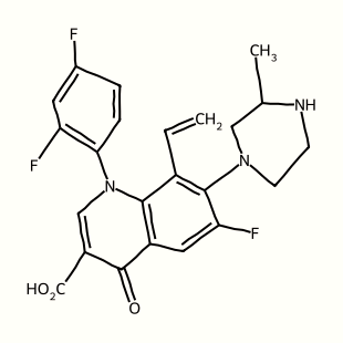 C=Cc1c(N2CCNC(C)C2)c(F)cc2c(=O)c(C(=O)O)cn(-c3ccc(F)cc3F)c12